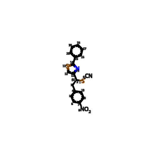 N#CS[C@@H](Cc1ccc([N+](=O)[O-])cc1)c1csc(-c2ccccc2)n1